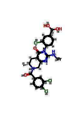 CC(C)Nc1nc2c(c(=O)n1-c1ccc(B(O)O)cc1Cl)C[C@@H](C)N(C(=O)c1ccc(Cl)c(Cl)c1)C2